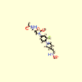 CC(=O)NC[C@H]1CN(c2ccc(N3CC4C(CNO)C4C3)c(F)c2)C(=O)O1